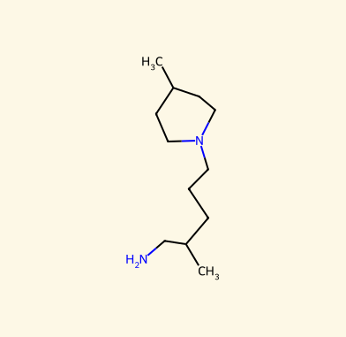 CC(CN)CCCN1CCC(C)CC1